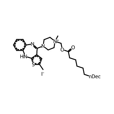 CCCCCCCCCCCCCCCC(=O)OC[N+]1(C)CCN(C2=Nc3ccccc3Nc3sc(C)cc32)CC1.[I-]